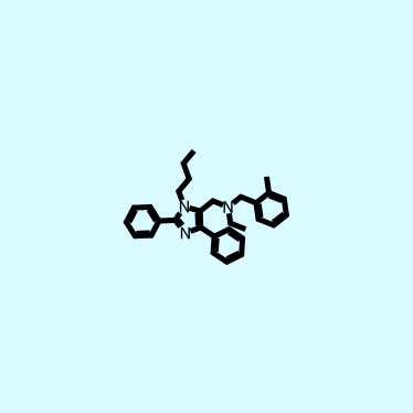 CCCCn1c(-c2ccccc2)nc(-c2ccccc2)c1CN(CC)Cc1ccccc1C